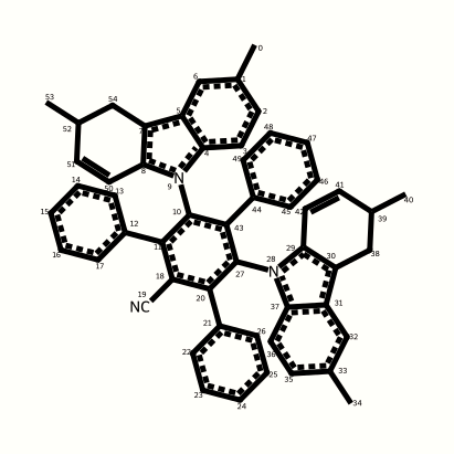 Cc1ccc2c(c1)c1c(n2-c2c(-c3ccccc3)c(C#N)c(-c3ccccc3)c(-n3c4c(c5cc(C)ccc53)CC(C)C=C4)c2-c2ccccc2)C=CC(C)C1